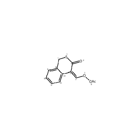 CC(=O)OO/C=C1\C(=O)SCc2ccccc21